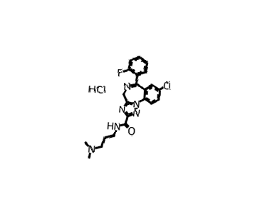 CN(C)CCCNC(=O)c1nc2n(n1)-c1ccc(Cl)cc1C(c1ccccc1F)=NC2.Cl